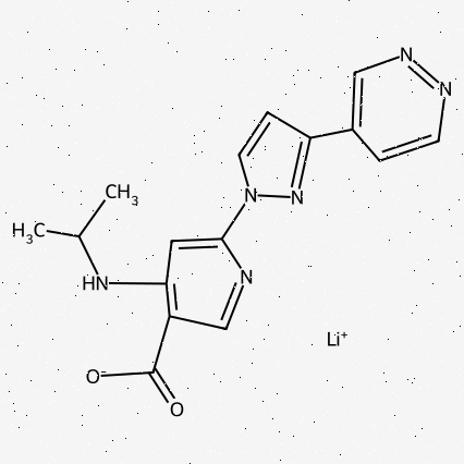 CC(C)Nc1cc(-n2ccc(-c3ccnnc3)n2)ncc1C(=O)[O-].[Li+]